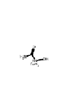 NC(=O)NO.[GaH3]